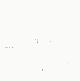 CC(C)CC(NCO)C(=O)O